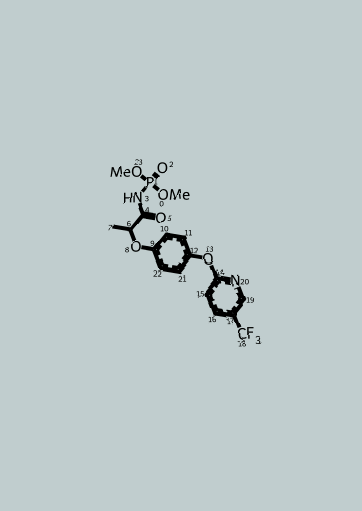 COP(=O)(NC(=O)C(C)Oc1ccc(Oc2ccc(C(F)(F)F)cn2)cc1)OC